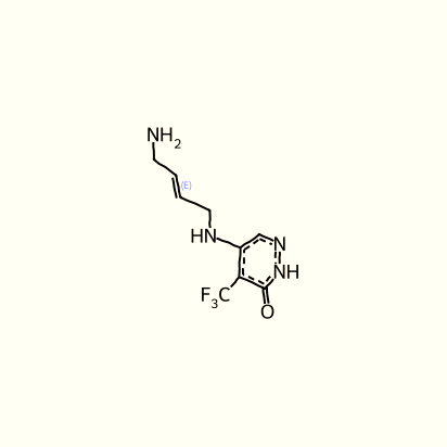 NC/C=C/CNc1cn[nH]c(=O)c1C(F)(F)F